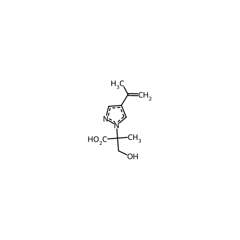 C=C(C)c1cnn(C(C)(CO)C(=O)O)c1